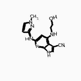 Cn1ccc(Nc2cc(NCCO)c3c(C#N)c[nH]c3n2)n1